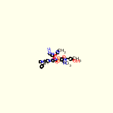 CC(C)c1ccccc1[C@@H]1CCCN1C1CC2(CCN(c3ccc(C(=O)NS(=O)(=O)c4cc5c(c([N+](=O)[O-])c4)N[C@@H]([C@H]4CC[C@](C)(O)CC4)CO5)c(Oc4cc5cc[nH]c5nc4OC4CN(C)C4)c3)CC2)C1